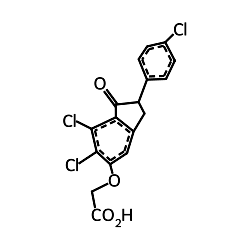 O=C(O)COc1cc2c(c(Cl)c1Cl)C(=O)C(c1ccc(Cl)cc1)C2